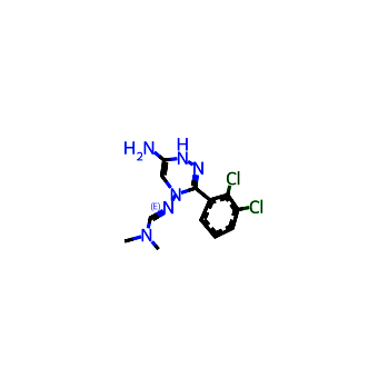 CN(C)/C=N/N1C=C(N)NN=C1c1cccc(Cl)c1Cl